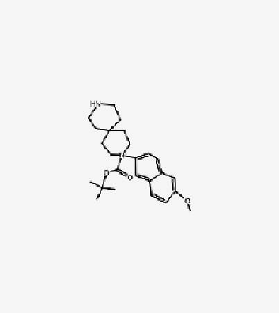 COc1ccc2cc([N+]3(C(=O)OC(C)(C)C)CCC4(CCNCC4)CC3)ccc2c1